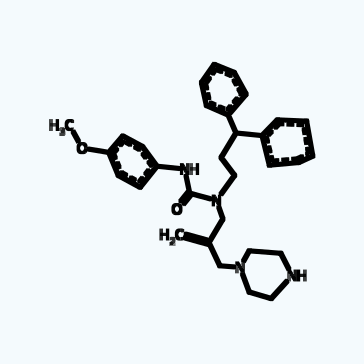 C=C(CN1CCNCC1)CN(CCC(c1ccccc1)c1ccccc1)C(=O)Nc1ccc(OC)cc1